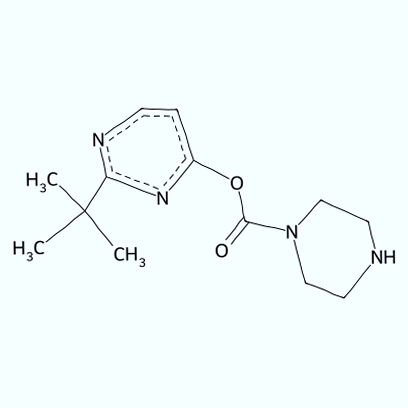 CC(C)(C)c1nccc(OC(=O)N2CCNCC2)n1